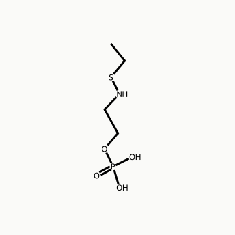 CCSNCCOP(=O)(O)O